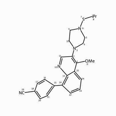 COc1c(N2CCN(SC(C)C)CC2)cnc2c(-c3ccc(C#N)cc3)cccc12